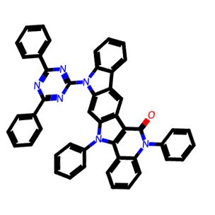 O=c1c2c3cc4c5ccccc5n(-c5nc(-c6ccccc6)nc(-c6ccccc6)n5)c4cc3n(-c3ccccc3)c2c2ccccc2n1-c1ccccc1